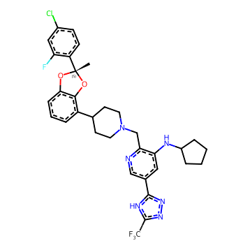 C[C@]1(c2ccc(Cl)cc2F)Oc2cccc(C3CCN(Cc4ncc(-c5nnc(C(F)(F)F)[nH]5)cc4NC4CCCC4)CC3)c2O1